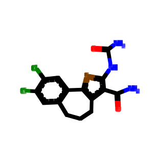 NC(=O)Nc1sc2c(c1C(N)=O)CCCc1cc(Cl)c(Cl)cc1-2